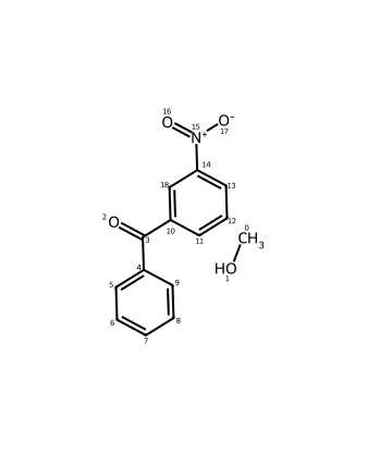 CO.O=C(c1ccccc1)c1cccc([N+](=O)[O-])c1